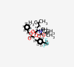 CC(C)CC[C@@H](C(=O)O[C@H](Cc1ccc(C(F)(F)F)cc1)C(=O)OCc1ccccc1)N(C)C(=O)OC(C)(C)C